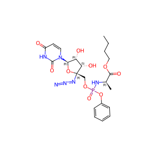 CCCCOC(=O)[C@@H](C)NP(=O)(OC[C@@]1(N=[N+]=[N-])O[C@@H](n2ccc(=O)[nH]c2=O)[C@H](O)[C@@H]1O)Oc1ccccc1